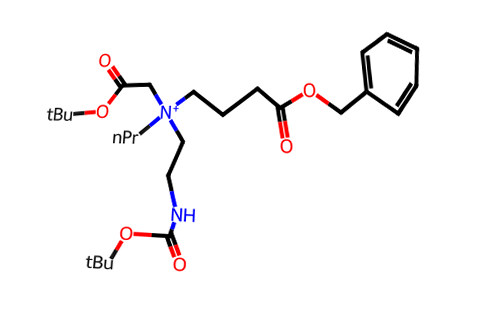 CCC[N+](CCCC(=O)OCc1ccccc1)(CCNC(=O)OC(C)(C)C)CC(=O)OC(C)(C)C